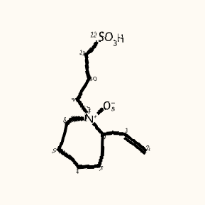 C=CC1CCCC[N+]1([O-])CCCS(=O)(=O)O